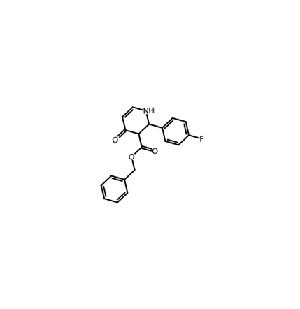 O=C1C=CNC(c2ccc(F)cc2)C1C(=O)OCc1ccccc1